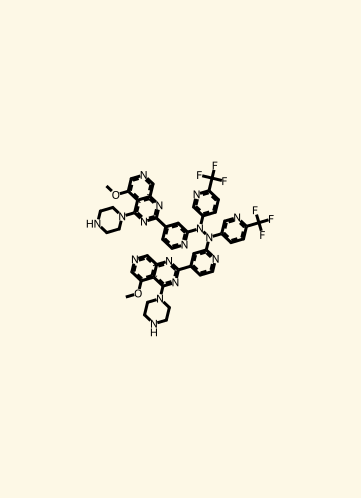 COc1cncc2nc(-c3ccnc(N(c4ccc(C(F)(F)F)nc4)N(c4ccc(C(F)(F)F)nc4)c4cc(-c5nc(N6CCNCC6)c6c(OC)cncc6n5)ccn4)c3)nc(N3CCNCC3)c12